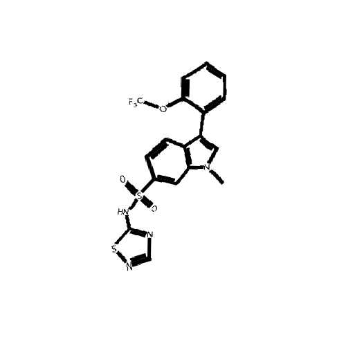 Cn1cc(-c2ccccc2OC(F)(F)F)c2ccc(S(=O)(=O)Nc3ncns3)cc21